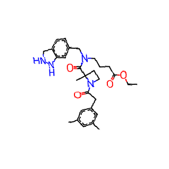 CCOC(=O)CCCN(Cc1ccc2c(c1)NNC2)C(=O)C1(C)CCN1C(=O)Cc1cc(C)cc(C)c1